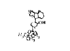 CC(C)(C)OC(=O)N1CC[C@H]([C@@H]2c3ccccc3-c3cncn32)[C@@H](O)C1